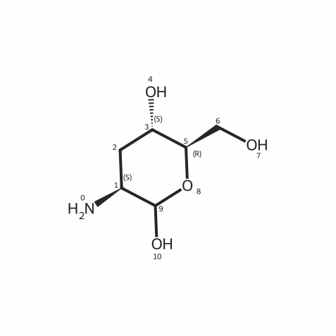 N[C@H]1C[C@H](O)[C@@H](CO)OC1O